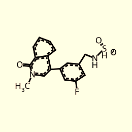 Cn1cc(-c2cc(F)cc(CN[SH](=O)=O)c2)c2ccccc2c1=O